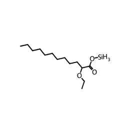 CCCCCCCCCCC(OCC)C(=O)O[SiH3]